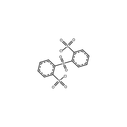 O=S(=O)(Cl)c1ccccc1S(=O)(=O)c1ccccc1S(=O)(=O)Cl